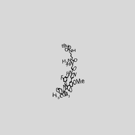 COc1cc2c(cc1-c1cncc(NC(=O)CCNC(=O)[C@H](N)CCCCNC(=O)OC(C)(C)C)c1)-c1c(c(C(=O)N3CCOCC3(C)C)nn1-c1cc(F)cc(F)c1)CO2